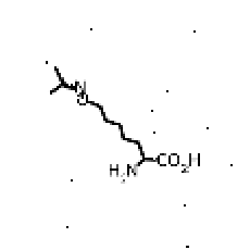 CC(C)=NOCCCCCC(N)C(=O)O